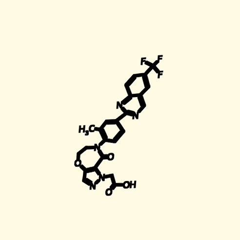 Cc1cc(-c2ncc3cc(C(F)(F)F)ccc3n2)ccc1N1CCOc2cnn(CC(=O)O)c2C1=O